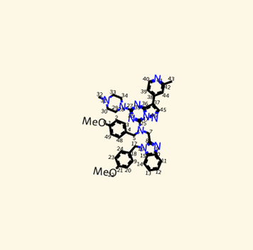 COc1ccc(CN(Cc2nc3ccccc3n2Cc2ccc(OC)cc2)c2nc(N3CCN(C)CC3)nc3c(-c4ccnc(C)c4)cnn23)cc1